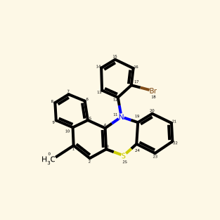 Cc1cc2c(c3ccccc13)N(c1ccccc1Br)c1ccccc1S2